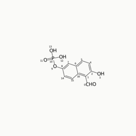 O=Cc1c(O)ccc2cc(OP(=O)(O)O)ccc12